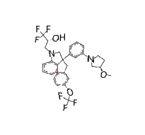 CO[C@@H]1CCN(c2cccc(C3(Cc4cccc(OC(F)(F)F)c4)CN(C[C@@H](O)C(F)(F)F)c4ccccc43)c2)C1